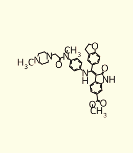 COC(=O)c1ccc2c(c1)NC(=O)C2=C(Nc1ccc(N(C)C(=O)CN2CCN(C)CC2)cc1)c1ccc2c(c1)CCO2